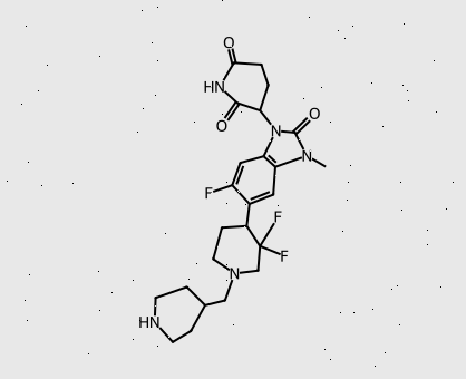 Cn1c(=O)n(C2CCC(=O)NC2=O)c2cc(F)c(C3CCN(CC4CCNCC4)CC3(F)F)cc21